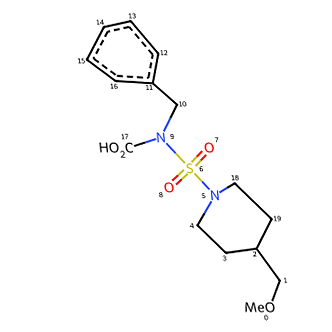 COCC1CCN(S(=O)(=O)N(Cc2ccccc2)C(=O)O)CC1